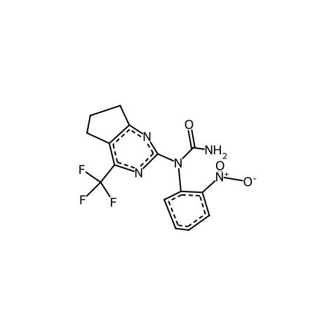 NC(=O)N(c1nc2c(c(C(F)(F)F)n1)CCC2)c1ccccc1[N+](=O)[O-]